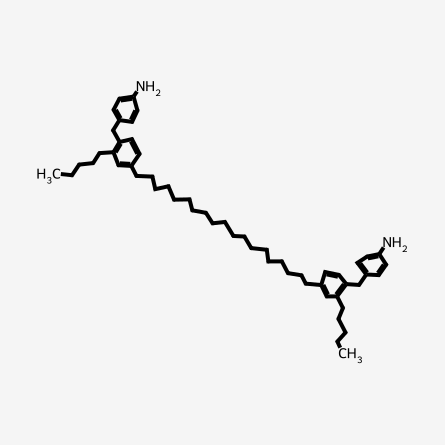 CCCCCc1cc(CCCCCCCCCCCCCCCCCCCc2ccc(Cc3ccc(N)cc3)c(CCCCC)c2)ccc1Cc1ccc(N)cc1